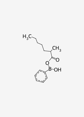 CCCCCC(C)C(=O)OB(O)c1ccccc1